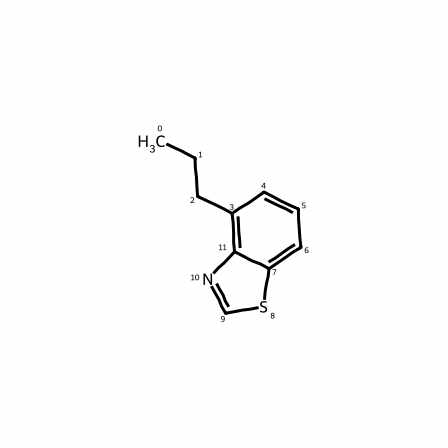 CCCc1cccc2scnc12